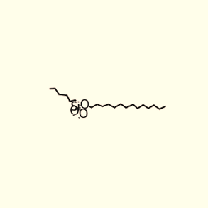 CCCCCCCCCCCCCCO[Si](CCCCCC)(OC)OC